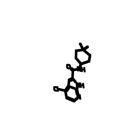 CC1(C)CCC(NC(=O)c2cc3c(Cl)ccnc3[nH]2)CC1